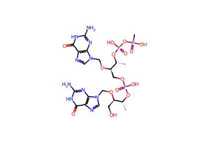 C[C@@H](OP(=O)(O)OC[C@@H](OCn1cnc2c(=O)[nH]c(N)nc21)[C@@H](C)OP(=O)(O)OP(C)(=O)O)[C@@H](CO)OCn1cnc2c(=O)[nH]c(N)nc21